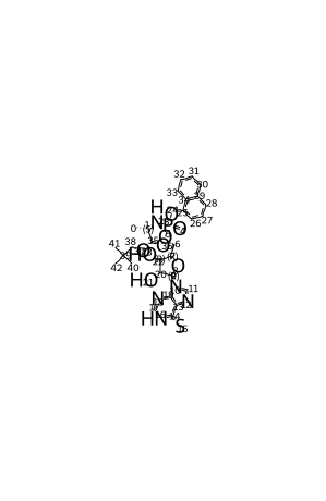 C[C@H](NP(=O)(OC[C@H]1O[C@@H](n2cnc3c(=S)[nH]cnc32)C(O)[C@H]1O)Oc1cccc2ccccc12)C(=O)OCC(C)(C)C